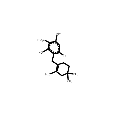 CCCc1cc(O)c(CC2=C(C)CC(C)(C)CC2)c(O)c1C(=O)O